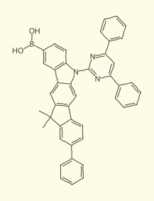 CC1(C)c2cc(-c3ccccc3)ccc2-c2cc3c(cc21)c1cc(B(O)O)ccc1n3-c1nc(-c2ccccc2)cc(-c2ccccc2)n1